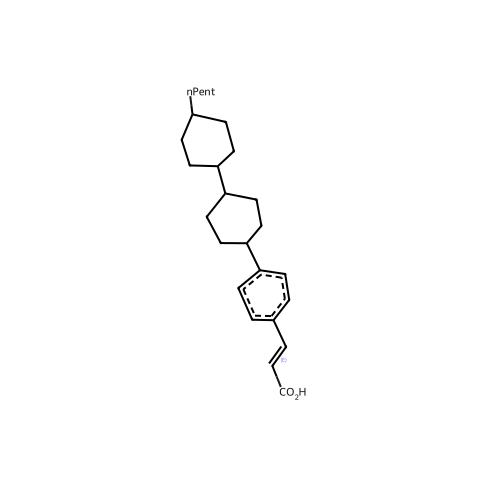 CCCCCC1CCC(C2CCC(c3ccc(/C=C/C(=O)O)cc3)CC2)CC1